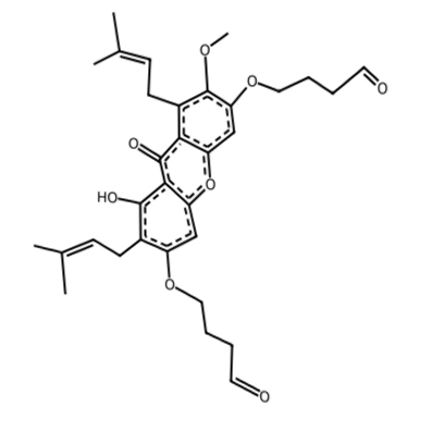 COc1c(OCCCC=O)cc2oc3cc(OCCCC=O)c(CC=C(C)C)c(O)c3c(=O)c2c1CC=C(C)C